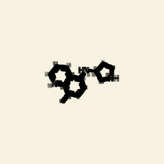 Cc1ccc(N[C@H]2CCNC2)c2cccnc12